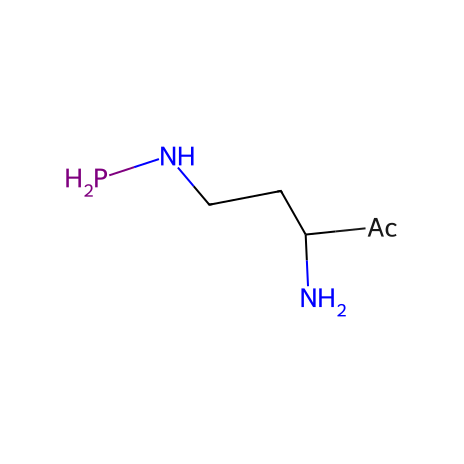 CC(=O)C(N)CCNP